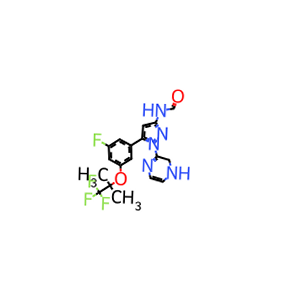 CC(C)(Oc1cc(F)cc(-c2cc(NC=O)nn2C2=NC=CNC2)c1)C(F)(F)F